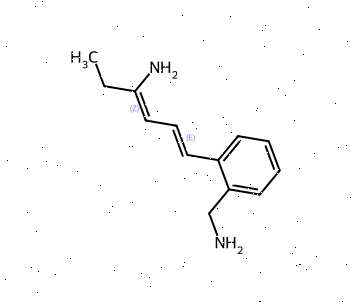 CC/C(N)=C/C=C/c1ccccc1CN